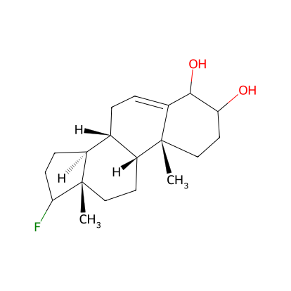 C[C@]12CCC(O)C(O)C1=CC[C@@H]1[C@H]2CC[C@]2(C)C(F)CC[C@@H]12